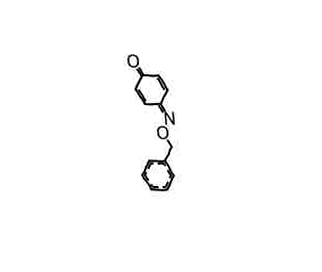 O=C1C=CC(=NOCc2ccccc2)C=C1